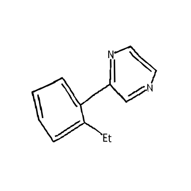 CCc1ccccc1-c1cnccn1